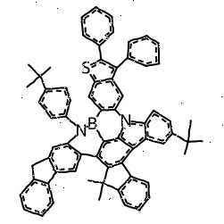 CC(C)(C)c1ccc(N2B3c4cc5sc(-c6ccccc6)c(-c6ccccc6)c5cc4-n4c5ccc(C(C)(C)C)cc5c5c6c(c(c3c54)-c3cc4c(cc32)Cc2ccccc2-4)C(C)(C)c2ccccc2-6)cc1